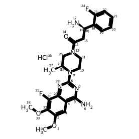 COc1cc2c(N)nc(N3CCN(C(=O)C[C@@H](N)c4ccccc4F)C[C@@H]3C)nc2c(F)c1OC.Cl